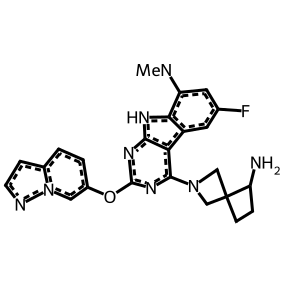 CNc1cc(F)cc2c1[nH]c1nc(Oc3ccc4ccnn4c3)nc(N3CC4(CCC4N)C3)c12